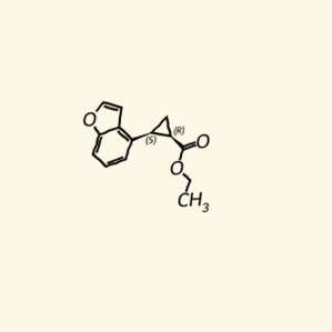 CCOC(=O)[C@@H]1C[C@@H]1c1cccc2occc12